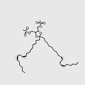 CCCCC/C=C\C/C=C\CCCCCCCCC1(CCCCCCCC/C=C\C/C=C\CCCCC)OC(COS(C)(=O)=O)C(COS(C)(=O)=O)O1